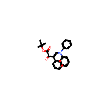 CC(C)(C)OC(=O)C(=O)/C(=C/N(c1ccccc1)c1ccccc1)c1ccccc1